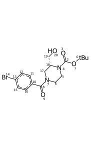 CC(C)(C)OC(=O)N1CCN(C(=O)c2ccc(Br)cc2)C[C@@H]1CO